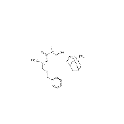 C[C@H](CS)C(=O)O[C@@H](CSCc1ccccc1)C(=O)O.NC12CC3CC(CC(C3)C1)C2